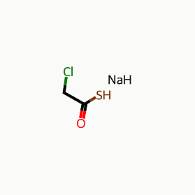 O=C(S)CCl.[NaH]